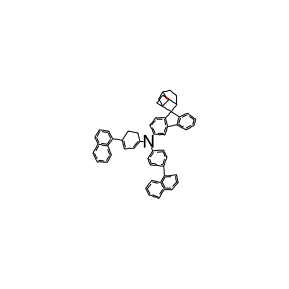 C1=C(c2cccc3ccccc23)CCC(N(c2ccc(-c3cccc4ccccc34)cc2)c2ccc3c(c2)-c2ccccc2C32C3CCC4CC5CC2(C4)C53)=C1